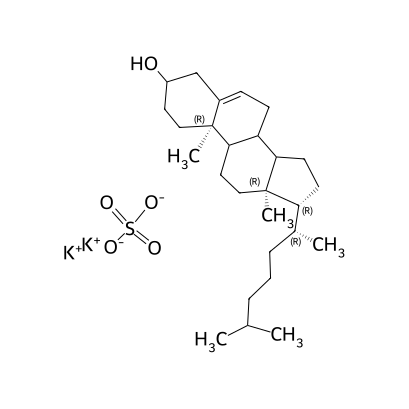 CC(C)CCC[C@@H](C)[C@H]1CCC2C3CC=C4CC(O)CC[C@]4(C)C3CC[C@@]21C.O=S(=O)([O-])[O-].[K+].[K+]